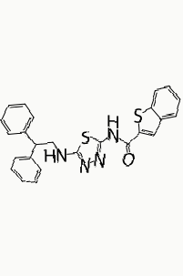 O=C(Nc1nnc(NCC(c2ccccc2)c2ccccc2)s1)c1cc2ccccc2s1